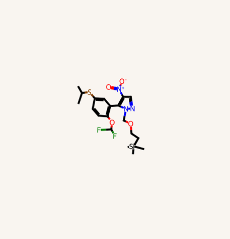 CC(C)Sc1ccc(OC(F)F)c(-c2c([N+](=O)[O-])cnn2COCC[Si](C)(C)C)c1